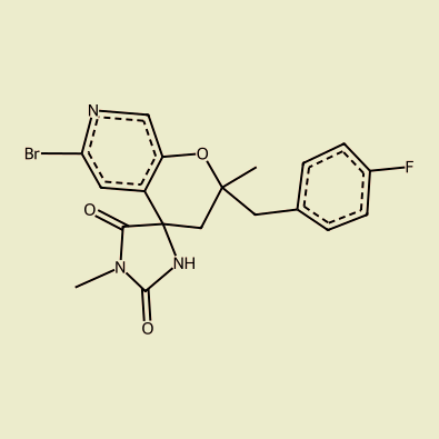 CN1C(=O)NC2(CC(C)(Cc3ccc(F)cc3)Oc3cnc(Br)cc32)C1=O